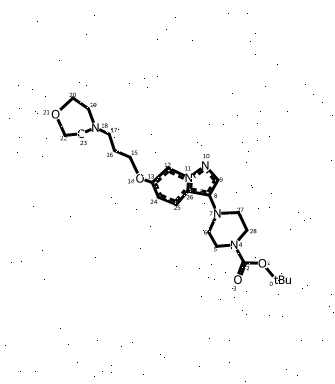 CC(C)(C)OC(=O)N1CCN(c2cnn3cc(OCCCN4CCOCC4)ccc23)CC1